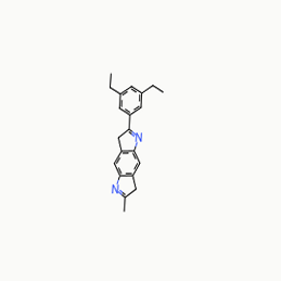 CCc1cc(CC)cc(C2=Nc3cc4c(cc3C2)N=C(C)C4)c1